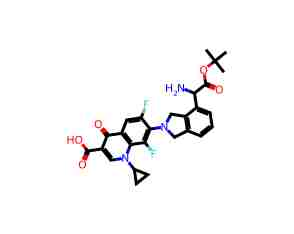 CC(C)(C)OC(=O)C(N)c1cccc2c1CN(c1c(F)cc3c(=O)c(C(=O)O)cn(C4CC4)c3c1F)C2